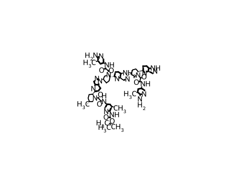 Cc1cc(NC(=O)C(=O)N2C[C@H](n3ncc4nc([C@@H]5CC[C@@H](C)CN5C(=O)C(=O)Nc5cnc(NC(=O)OC(C)(C)C)c(C)c5)ccc43)CC[C@H]2c2ccc(N)c(/C=N\C[C@@H]3CC[C@@H](c4ccc5[nH]ncc5n4)N(C(=O)C(=O)Nc4cnc(N)c(C)c4)C3)n2)cnc1N